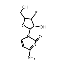 Nc1ccn(C2OC(CO)C(F)[C@H]2O)c(=O)n1